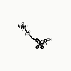 N=c1c2c(-c3ccccc3)c(-c3ccccc3)n(Cc3cccc(C#CCCCCNC(=O)CCCC[C@@H]4SC[C@@H]5NC(=O)N[C@@H]54)c3)c2ncn1C1CCC(O)CC1